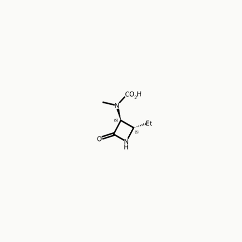 CC[C@@H]1NC(=O)[C@H]1N(C)C(=O)O